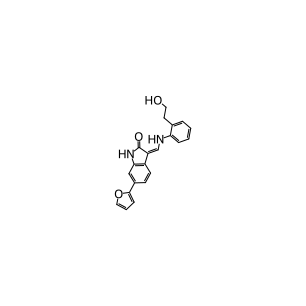 O=C1Nc2cc(-c3ccco3)ccc2/C1=C/Nc1ccccc1CCO